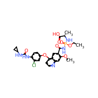 CCOP(=O)(NC(=O)c1cc2c(Oc3ccc(NC(=O)NC4CC4)c(Cl)c3)ccnc2cc1OC)N[C@@H](C)C(=O)O